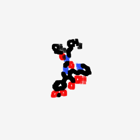 CCCCN(OCCC)C(=O)CN1CC(c2ccc3c(c2)OCO3)C(C(=O)O)C1CCc1ccccn1